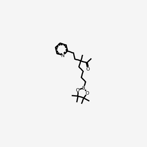 CC(=O)C(C)(CCCCB1OC(C)(C)C(C)(C)O1)CCc1ccccn1